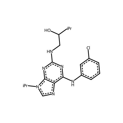 CC(C)C(O)CNc1nc(Nc2cccc(Cl)c2)c2ncn(C(C)C)c2n1